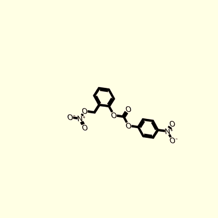 O=C(Oc1ccc([N+](=O)[O-])cc1)Oc1ccccc1CO[N+](=O)[O-]